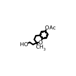 CC(=O)Oc1ccc2c(c1)CCC(C)(CCO)O2